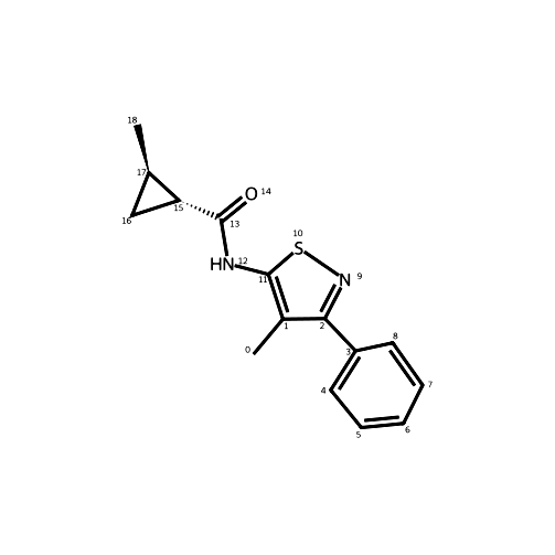 Cc1c(-c2ccccc2)nsc1NC(=O)[C@@H]1C[C@H]1C